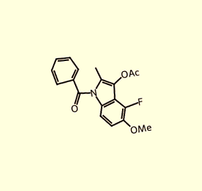 COc1ccc2c(c1F)c(OC(C)=O)c(C)n2C(=O)c1ccccc1